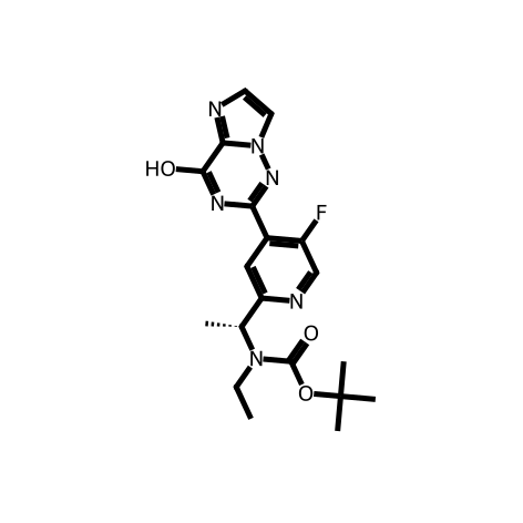 CCN(C(=O)OC(C)(C)C)[C@H](C)c1cc(-c2nc(O)c3nccn3n2)c(F)cn1